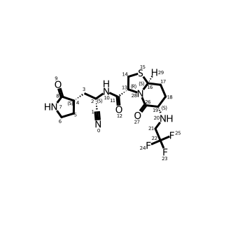 N#C[C@H](C[C@@H]1CCNC1=O)NC(=O)[C@@H]1CS[C@H]2CC[C@H](NCC(F)(F)F)C(=O)N21